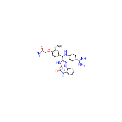 COc1cc(C(Nc2ccc(C(=N)N)cc2)c2nn(-c3ccccc3NC(=O)C(F)(F)F)c(=O)[nH]2)ccc1OCC(=O)N(C)C